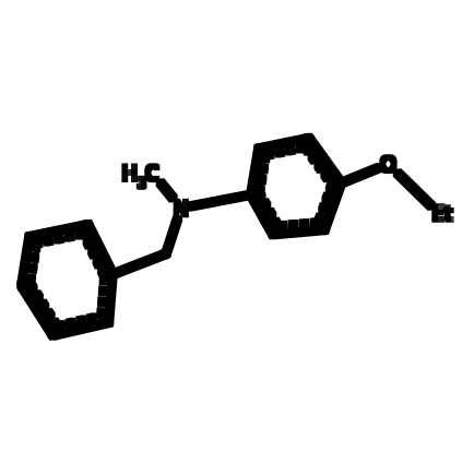 CCOc1ccc(N(C)Cc2ccccc2)cc1